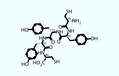 N[C@@H](CS)C(=O)N[C@@H](Cc1ccc(O)cc1)C(=O)N[C@@H](Cc1ccc(O)cc1)C(=O)N[C@@H](Cc1ccc(O)cc1)C(=O)N[C@@H](CS)C(=O)O